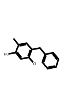 Cc1cc(Cc2ccccc2)c(Cl)cc1O